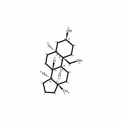 C[C@@]12CCC[C@H]1[C@@H]1CC[C@H]3C[C@@H](O)CC[C@]3(CO)[C@H]1CC2